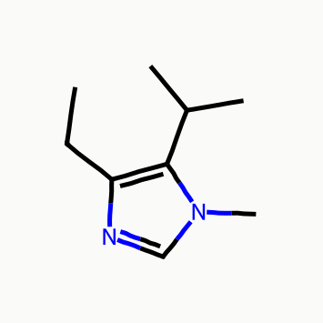 CCc1ncn(C)c1C(C)C